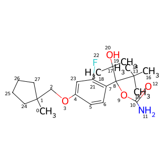 CC1(COc2ccc(C(OC(N)=O)(C(C)(C)C)C(C)(C)O)c(F)c2)CCCC1